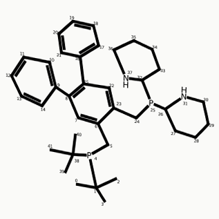 CC(C)(C)P(Cc1cc(-c2ccccc2)c(-c2ccccc2)cc1CP(C1CCCCN1)C1CCCCN1)C(C)(C)C